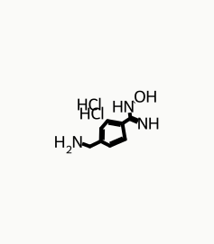 Cl.Cl.N=C(NO)c1ccc(CN)cc1